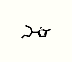 CCCC(CC)c1ccc(C)s1